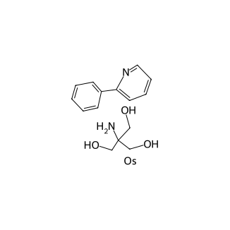 NC(CO)(CO)CO.[Os].c1ccc(-c2ccccn2)cc1